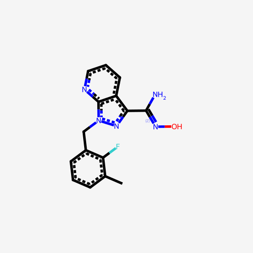 Cc1cccc(Cn2nc(/C(N)=N/O)c3cccnc32)c1F